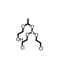 CC(OCCO)OP(OCCCl)OCCCl